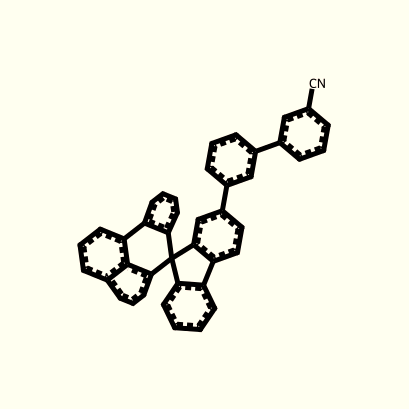 N#Cc1cccc(-c2cccc(-c3ccc4c(c3)C3(c5ccccc5-4)c4ccccc4-c4cccc5cccc3c45)c2)c1